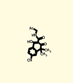 [C-]#[N+]c1ccc2c(c1)C(C)(C)C(=O)C(C(=O)NCC(C)=O)=C2O